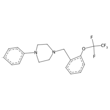 FC(F)(F)C(F)(F)Oc1ccccc1CN1CCN(c2cc[c]cc2)CC1